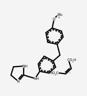 CC[C@H](C)Oc1ccc(Cc2ccc(NC3=NCCN3)cc2)cc1.O=C(O)/C=C\C(=O)O